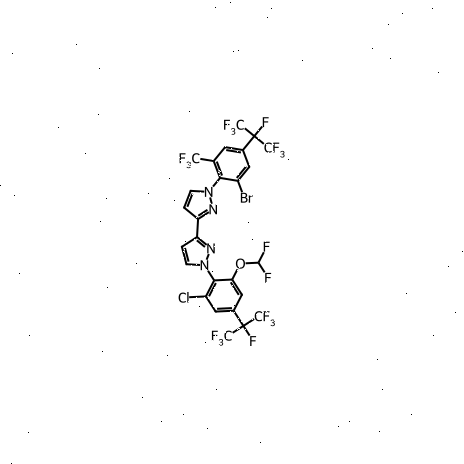 FC(F)Oc1cc(C(F)(C(F)(F)F)C(F)(F)F)cc(Cl)c1-n1ccc(-c2ccn(-c3c(Br)cc(C(F)(C(F)(F)F)C(F)(F)F)cc3C(F)(F)F)n2)n1